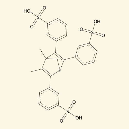 CC1=C(c2cccc(S(=O)(=O)O)c2)P2CC1(C)C(c1cccc(S(=O)(=O)O)c1)=C2c1cccc(S(=O)(=O)O)c1